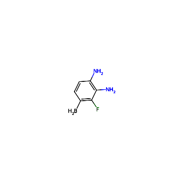 Bc1ccc(N)c(N)c1F